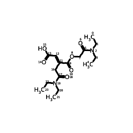 CCN(CC)C(=O)COC(=O)C(=CC(=O)O)CC(=O)N(CC)CC